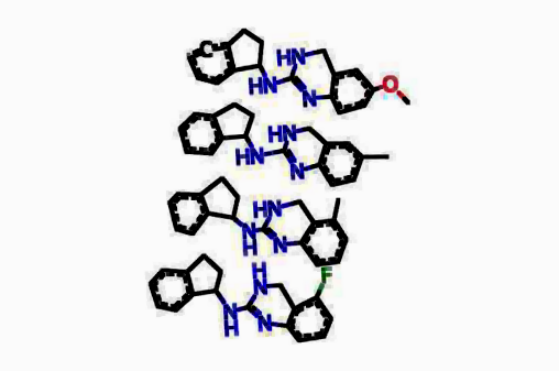 COc1ccc2c(c1)CNC(NC1CCc3ccccc31)=N2.Cc1ccc2c(c1)CNC(NC1CCc3ccccc31)=N2.Cc1cccc2c1CNC(NC1CCc3ccccc31)=N2.Fc1cccc2c1CNC(NC1CCc3ccccc31)=N2